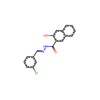 O=C(N/N=C/c1cccc(Cl)c1)c1cc2ccccc2cc1O